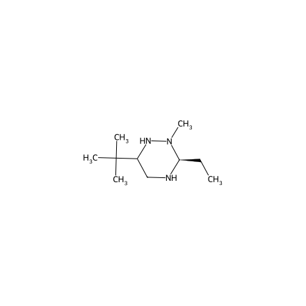 CC[C@H]1NCC(C(C)(C)C)NN1C